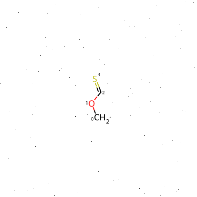 [CH2]OC=S